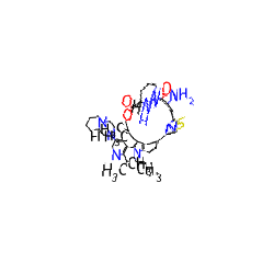 CCn1c(-c2cc(N3CCN4CCCC[C@@H]4C3)cnc2C(C)C)c2c3cc(ccc31)-c1csc(n1)C[C@H](N)C(=O)N1CCC[C@H](N1)C(=O)OCC(C)(C)C2